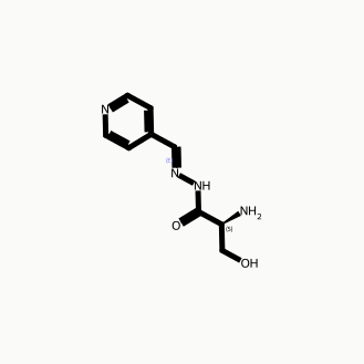 N[C@@H](CO)C(=O)N/N=C/c1ccncc1